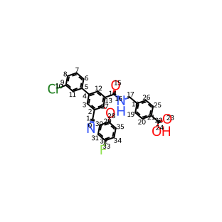 N#Cc1cc(-c2cccc(Cl)c2)cc(C(=O)NCc2ccc(C(=O)O)cc2)c1Oc1ccc(F)cc1